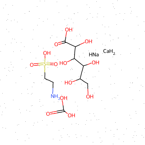 NCCS(=O)(=O)O.O=C(O)C(O)C(O)C(O)C(O)CO.O=C(O)O.[CaH2].[NaH]